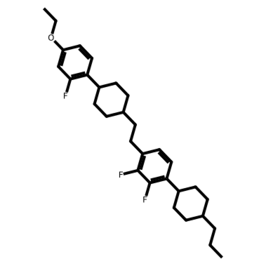 CCCC1CCC(c2ccc(CCC3CCC(c4ccc(OCC)cc4F)CC3)c(F)c2F)CC1